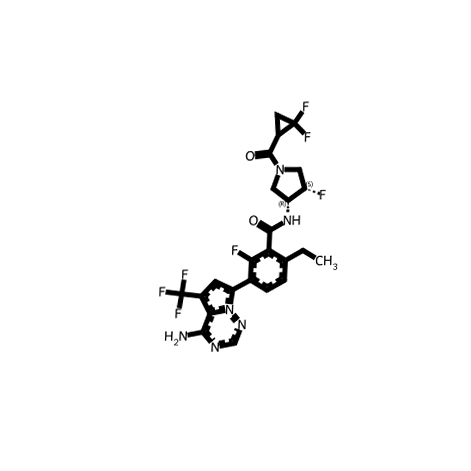 CCc1ccc(-c2cc(C(F)(F)F)c3c(N)ncnn23)c(F)c1C(=O)N[C@@H]1CN(C(=O)C2CC2(F)F)C[C@@H]1F